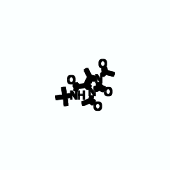 CC(=O)n1c(C)c(C(=O)NC(C)(C)C)n(C(C)=O)c1=O